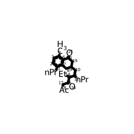 CCCc1ccc(C)c2c1CC(CC(CCC)C(CC)C(=O)CC(C)=O)CC2=O